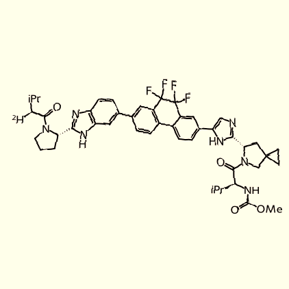 [2H][C@H](C(=O)N1CCC[C@H]1c1nc2ccc(-c3ccc4c(c3)C(F)(F)C(F)(F)c3cc(-c5cnc([C@@H]6CC7(CC7)CN6C(=O)[C@@H](NC(=O)OC)C(C)C)[nH]5)ccc3-4)cc2[nH]1)C(C)C